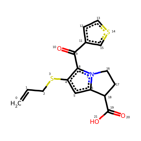 C=CCSc1cc2n(c1C(=O)c1ccsc1)CCC2C(=O)O